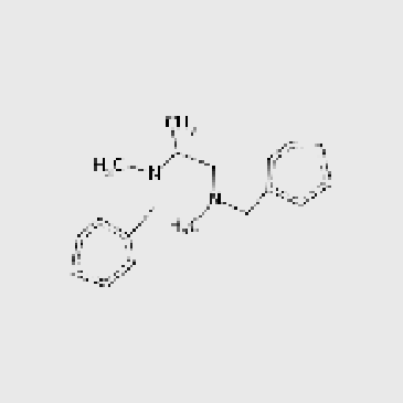 CC(CN(C)Cc1ccccc1)N(C)Cc1ccccc1